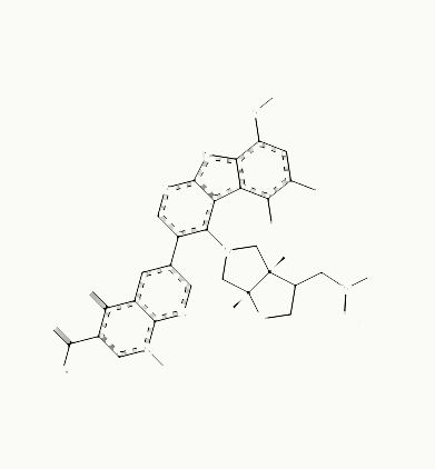 CNc1cc(F)c(F)c2c1[nH]c1ncc(-c3cnc4c(c3)c(=O)c(C(=O)O)cn4C)c(N3C[C@@H]4C(CN(C)C)CO[C@@H]4C3)c12